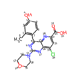 Cc1cc(O)ccc1-c1nc(N2CCOCC2)nc2c(Cl)cc(C(=O)O)nc12